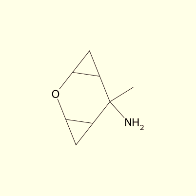 CC1(N)C2CC2OC2CC21